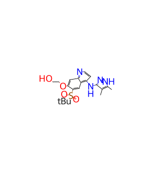 Cc1[nH]nc(Nc2ccnc3cc(OCCO)c(S(=O)(=O)C(C)(C)C)cc23)c1C